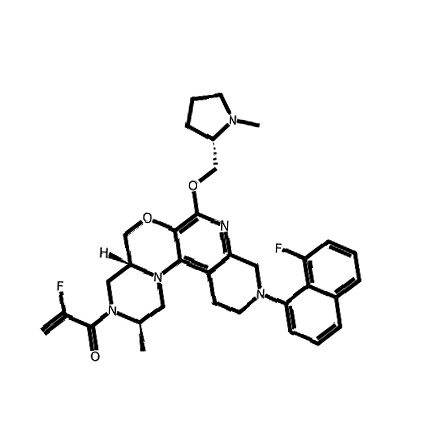 C=C(F)C(=O)N1C[C@@H]2COc3c(OC[C@@H]4CCCN4C)nc4c(c3N2C[C@H]1C)CCN(c1cccc2cccc(F)c12)C4